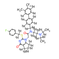 [2H]c1c([2H])c(C([2H])([2H])N(C(=O)Cn2c(SC([2H])([2H])c3ccc(F)cc3)nc(=O)c3c2C([2H])([2H])C([2H])([2H])C3([2H])[2H])C([2H])([2H])C([2H])([2H])N(C([2H])([2H])C)C([2H])([2H])C)c([2H])c([2H])c1-c1c([2H])c([2H])c(C(F)(F)F)c(C)c1[2H]